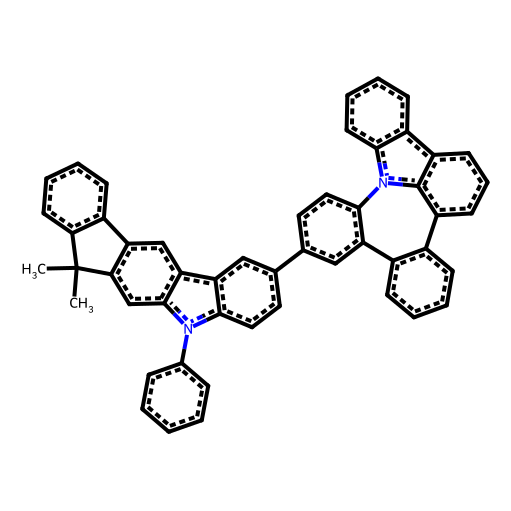 CC1(C)c2ccccc2-c2cc3c4cc(-c5ccc6c(c5)-c5ccccc5-c5cccc7c8ccccc8n-6c57)ccc4n(-c4ccccc4)c3cc21